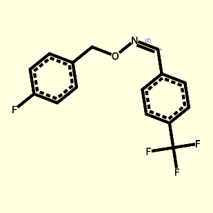 Fc1ccc(CO/N=[C]\c2ccc(C(F)(F)F)cc2)cc1